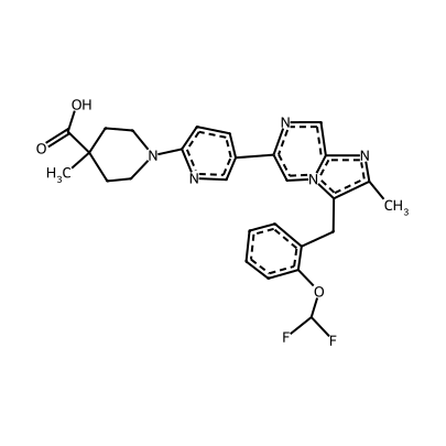 Cc1nc2cnc(-c3ccc(N4CCC(C)(C(=O)O)CC4)nc3)cn2c1Cc1ccccc1OC(F)F